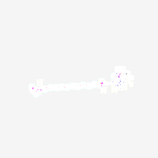 CCCN(OCC)C(=O)C1=CC(NCCCCCNC(=O)OCCOCCOCCOCCOCCOCCOCCOCCOCCOCCOCCNC(=O)CN2C(=O)C=CC2=O)=C(C=N)N=C(N)C1